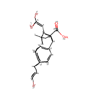 CC1(C)C(C=C(Br)Br)C1(Cc1ccc(CC=CBr)cc1)C(=O)O